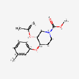 C=C(C)O[C@@H]1CN(C(=O)OC(C)(C)C)CC[C@H]1Oc1cccc(C(F)(F)F)c1